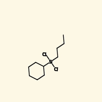 CCCC[Si](Cl)(Cl)C1CCCCC1